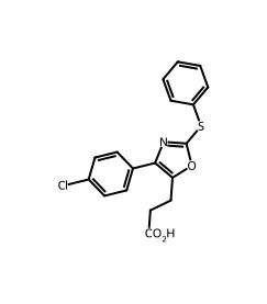 O=C(O)CCc1oc(Sc2ccccc2)nc1-c1ccc(Cl)cc1